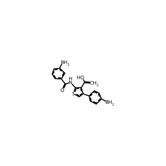 Bc1ccc(-c2csc(NC(=O)c3cccc(B)c3)c2C(=C)O)cc1